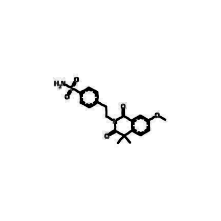 COc1ccc2c(c1)C(=O)N(CCc1ccc(S(N)(=O)=O)cc1)C(=O)C2(C)C